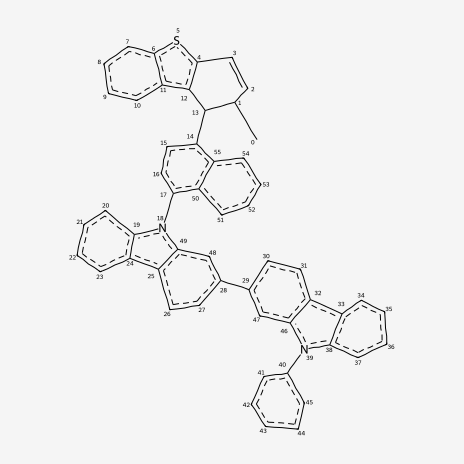 CC1C=Cc2sc3ccccc3c2C1c1ccc(-n2c3ccccc3c3ccc(-c4ccc5c6ccccc6n(-c6ccccc6)c5c4)cc32)c2ccccc12